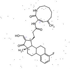 C=C1/C=C(/NC(=O)CC[C@@H]2/C(=C/O)C(=O)[C@@]3(C)CCC4c5cccc(F)c5CCC4C23)C(=O)NCCCCC1